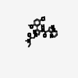 CCN(C)C(=O)Cn1cc(NC(=O)c2cnn3cccnc23)c(-c2cc(Cl)ccc2OC)n1